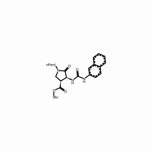 CCCCCN1C[C@H](C(=O)OC(C)(C)C)[C@H](NC(=O)Nc2ccc3ccccc3c2)C1=O